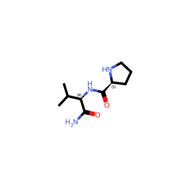 CC(C)[C@@H](NC(=O)[C@@H]1CCCN1)C(N)=O